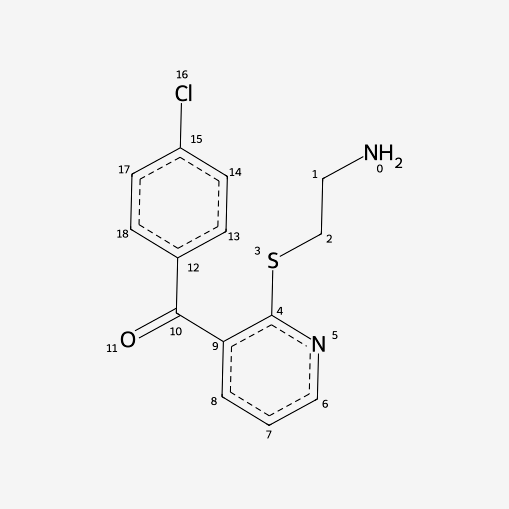 NCCSc1ncccc1C(=O)c1ccc(Cl)cc1